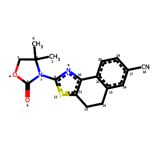 CC1(C)COC(=O)N1c1nc2c(s1)CCc1cc(C#N)ccc1-2